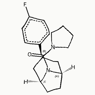 O=C(N1CCCC1)N1[C@@H]2CC[C@H]1C[C@@H](c1ccc(F)cc1)C2